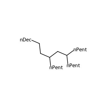 CCCCCCCCCCCCC(CCCCC)CC(CCCCC)CCCCC